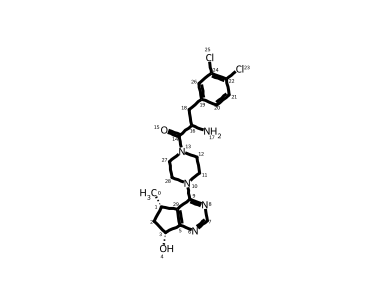 C[C@H]1C[C@@H](O)c2ncnc(N3CCN(C(=O)C(N)Cc4ccc(Cl)c(Cl)c4)CC3)c21